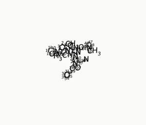 Cc1ccc2c(cnn2C2CCCCO2)c1-n1c(C)nc2c(N3CCN(C(=O)OCc4ccccc4)[C@@H](CC#N)C3)nc(OC[C@@H]3CCCN3C)nc2c1=O